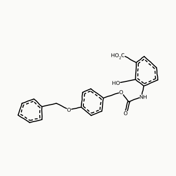 O=C(Nc1cccc(C(=O)O)c1O)Oc1ccc(OCc2ccccc2)cc1